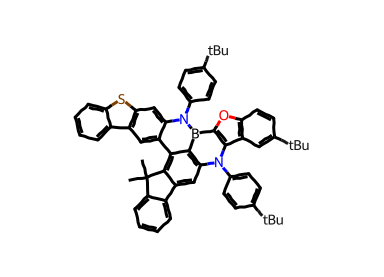 CC(C)(C)c1ccc(N2B3c4oc5ccc(C(C)(C)C)cc5c4N(c4ccc(C(C)(C)C)cc4)c4cc5c(c(c43)-c3cc4c(cc32)sc2ccccc24)C(C)(C)c2ccccc2-5)cc1